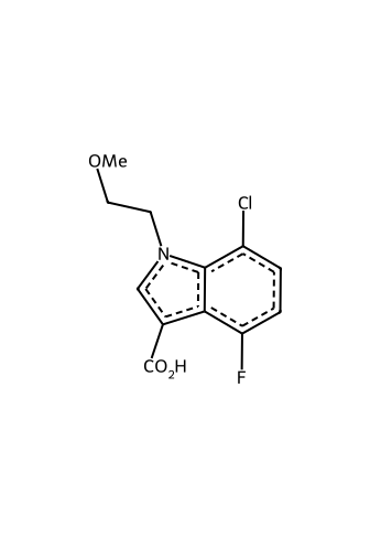 COCCn1cc(C(=O)O)c2c(F)ccc(Cl)c21